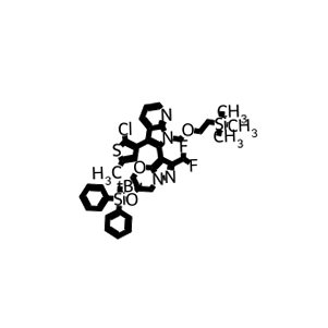 Cc1cc(-c2c(-c3c(C(F)F)nn4c3OC[C@@H](O[Si](c3ccccc3)(c3ccccc3)C(C)(C)C)C4)n(COCC[Si](C)(C)C)c3ncccc23)c(Cl)s1